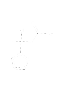 CC(O)(CC(N)=O)c1cccs1